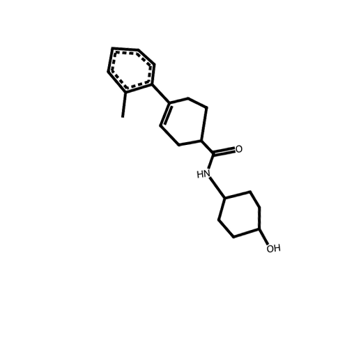 Cc1ccccc1C1=CCC(C(=O)NC2CCC(O)CC2)CC1